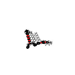 CC(CO)(CO)CO.CC(COC(=O)c1ccccc1)OC(=O)c1ccccc1.O=C(O)c1ccccc1.O=C(O)c1ccccc1.O=C(O)c1ccccc1.O=C(O)c1ccccc1.O=C(O)c1ccccc1.O=C(O)c1ccccc1.OCCCO